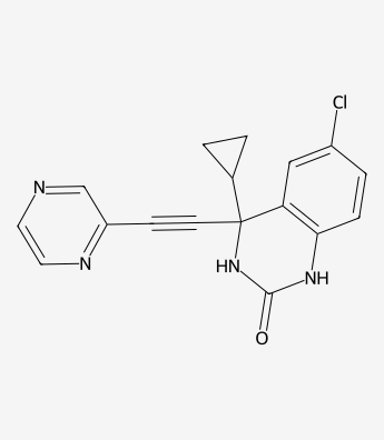 O=C1Nc2ccc(Cl)cc2C(C#Cc2cnccn2)(C2CC2)N1